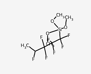 CO[Si](OC)(OC)C(F)(F)C(F)(F)C(F)(F)C(C)F